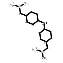 CN(C)CC1CCC(NC2CCC(CN(C)C)CC2)CC1